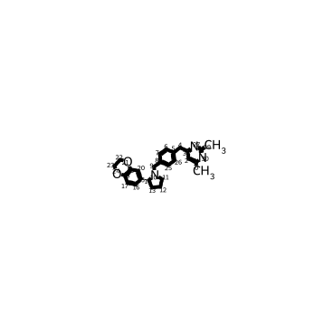 Cc1cc(Cc2ccc(CN3CCC[C@@H]3c3ccc4c(c3)OCCO4)cc2)nc(C)n1